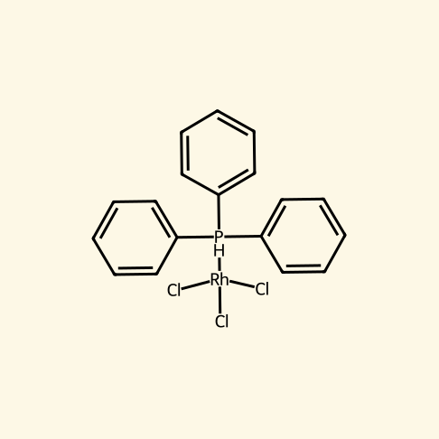 [Cl][Rh]([Cl])([Cl])[PH](c1ccccc1)(c1ccccc1)c1ccccc1